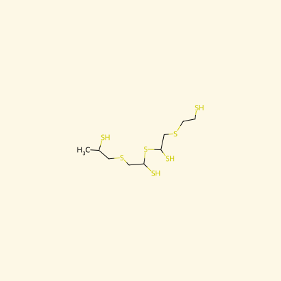 CC(S)CSCC(S)SC(S)CSCCS